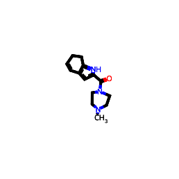 CN1CCN(C(=O)c2cc3c([nH]2)CCC=C3)CC1